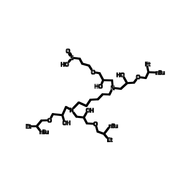 CCCCC(CC)COCC(O)CN(CCCCCCN(CC(O)COCC(CC)CCCC)CC(O)COCC(CC)CCCC)CC(O)COCCCS(=O)O